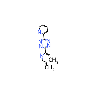 C=C/C=N\C(=C/C)c1nnc(-c2ccccn2)nn1